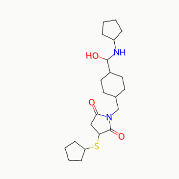 O=C1CC(SC2CCCC2)C(=O)N1CC1CCC(C(O)NC2CCCC2)CC1